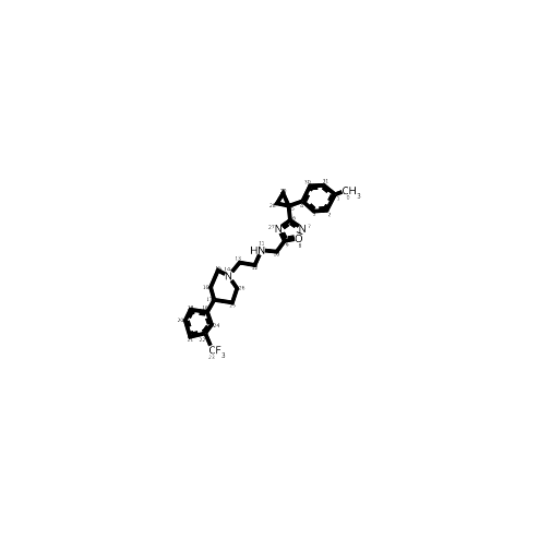 Cc1ccc(C2(c3noc(CNCCN4CCC(c5cccc(C(F)(F)F)c5)CC4)n3)CC2)cc1